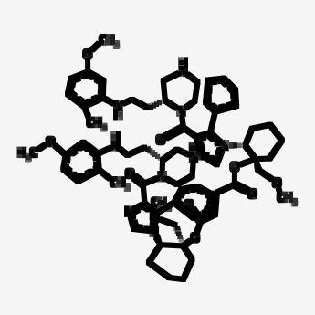 COC[C@]1(OC(=O)/C=C/C(=O)O[C@@]2(COC)CCCC[C@H]2n2cnc(C(=O)N3CCNC[C@H]3CCNc3cc(OC)ccc3C)c2-c2ccccc2)CCCC[C@H]1n1cnc(C(=O)N2CCNC[C@H]2CCNc2cc(OC)ccc2C)c1-c1ccccc1